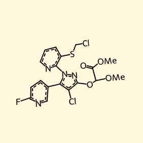 COC(=O)C(OC)Oc1nn(-c2ncccc2SCCl)c(-c2ccc(F)nc2)c1Cl